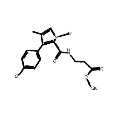 CCn1cc(C)c(-c2ccc(Cl)cc2)c1C(=O)NCCC(=O)OC(C)(C)C